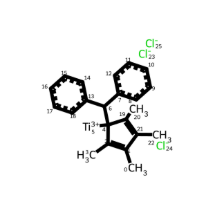 CC1=C(C)[C]([Ti+3])(C(c2ccccc2)c2ccccc2)C(C)=C1C.[Cl-].[Cl-].[Cl-]